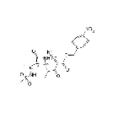 CC(C(=O)C(=[N+]=[N-])C(=O)OCc1ccc([N+](=O)[O-])cc1)[C@H]1NC(=O)[C@@H]1[C@@H](C)NS(C)(=O)=O